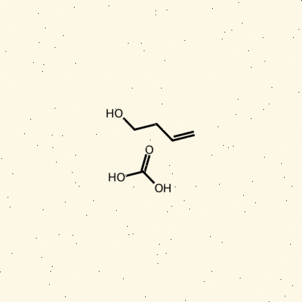 C=CCCO.O=C(O)O